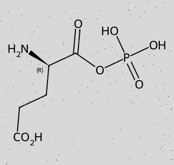 N[C@H](CCC(=O)O)C(=O)OP(=O)(O)O